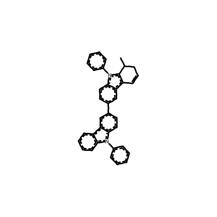 CC1CC=Cc2c1n(-c1ccccc1)c1ccc(-c3ccc4c(c3)c3ccccc3n4-c3ccccc3)cc21